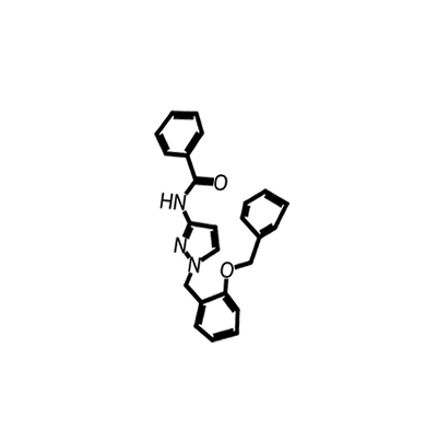 O=C(Nc1ccn(Cc2ccccc2OCc2ccccc2)n1)c1ccccc1